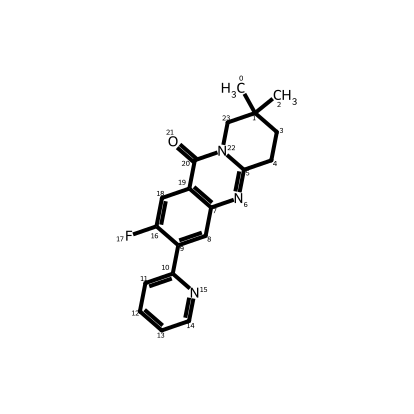 CC1(C)CCc2nc3cc(-c4ccccn4)c(F)cc3c(=O)n2C1